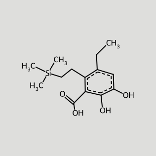 CCc1cc(O)c(O)c(C(=O)O)c1CC[Si](C)(C)C